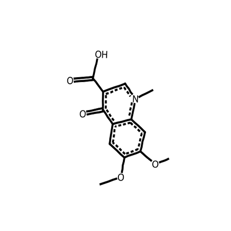 COc1cc2c(=O)c(C(=O)O)cn(C)c2cc1OC